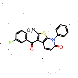 O=C(c1cccc(F)c1)c1c([N+](=O)[O-])sc2c1ccc(=O)n2-c1ccccc1